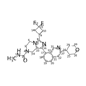 CNC(=O)N1CCn2c(C3CC(F)(F)C3)nc(-c3cccc4cc(C5CCOCC5)ncc34)c2C1